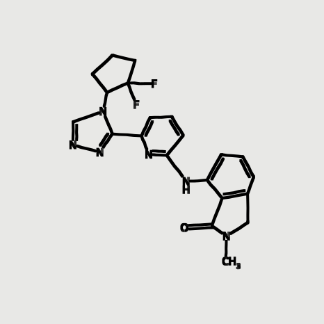 CN1Cc2cccc(Nc3cccc(-c4nncn4C4CCCC4(F)F)n3)c2C1=O